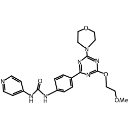 COCCOc1nc(-c2ccc(NC(=O)Nc3ccncc3)cc2)nc(N2CCOCC2)n1